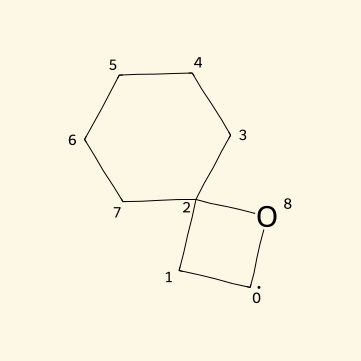 [CH]1CC2(CCCCC2)O1